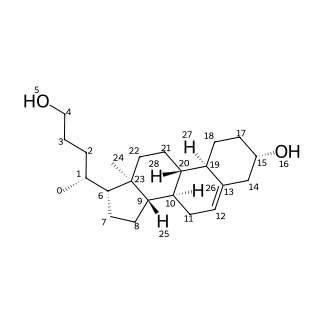 C[C@H](CCCO)[C@H]1CC[C@H]2[C@@H]3CC=C4C[C@@H](O)CC[C@@H]4[C@H]3CC[C@]12C